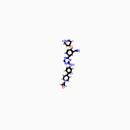 N#Cc1cc(-c2ncnc(Nc3ccc(C4CCN(C5COC5)CC4)cc3)n2)ccc1OC1CCNCC1